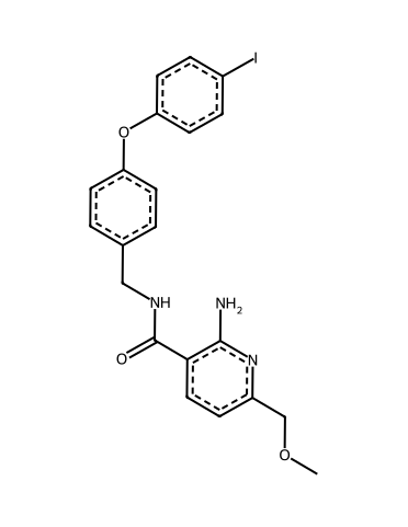 COCc1ccc(C(=O)NCc2ccc(Oc3ccc(I)cc3)cc2)c(N)n1